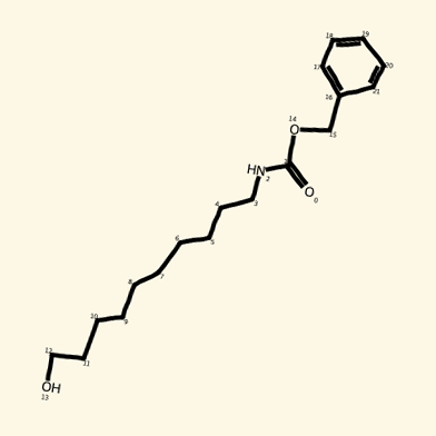 O=C(NCCCCCCCCCCO)OCc1ccccc1